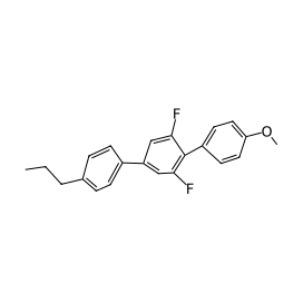 CCCc1ccc(-c2cc(F)c(-c3ccc(OC)cc3)c(F)c2)cc1